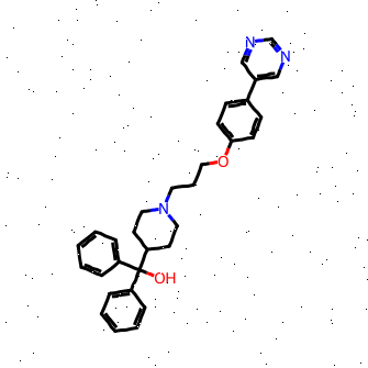 OC(c1ccccc1)(c1ccccc1)C1CCN(CCCOc2ccc(-c3cncnc3)cc2)CC1